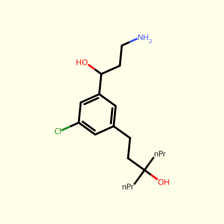 CCCC(O)(CCC)CCc1cc(Cl)cc(C(O)CCN)c1